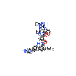 CCc1nc2c(cnn2CC)c(NC2CCOCC2)c1CNC(=O)c1cccc(C(=O)NCc2cc(-c3cccc(CN4CCNCC4)c3)ccc2OC)c1